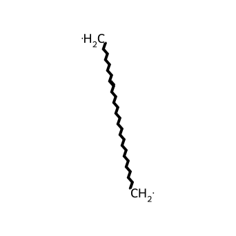 [CH2]CCCCCCCC=CCCCCCCCCCCCCCCCCCCC[CH2]